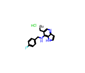 CCC(C)Cc1cnc2cc[nH]c2c1NCc1ccc(F)cc1.Cl